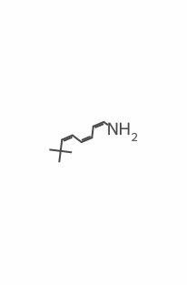 CC(C)(C)\C=C/C=C\C=C/N